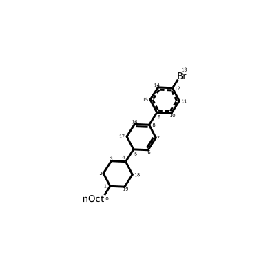 CCCCCCCCC1CCC(C2C=CC(c3ccc(Br)cc3)=CC2)CC1